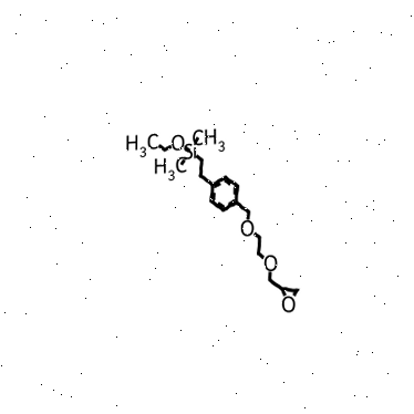 CCO[Si](C)(C)CCc1ccc(COCCOCC2CO2)cc1